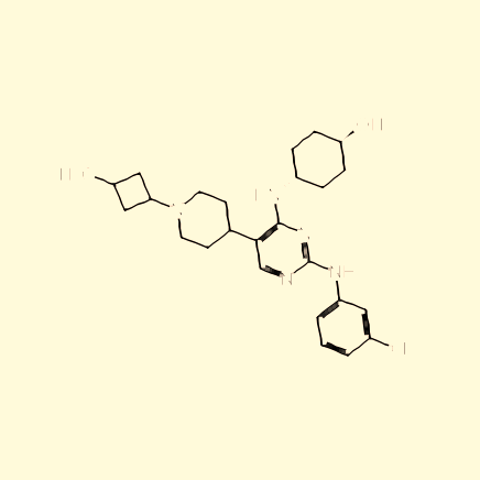 CC1CC(N2CCC(c3cnc(Nc4cccc(C(F)(F)F)c4)nc3N[C@H]3CC[C@H](O)CC3)CC2)C1